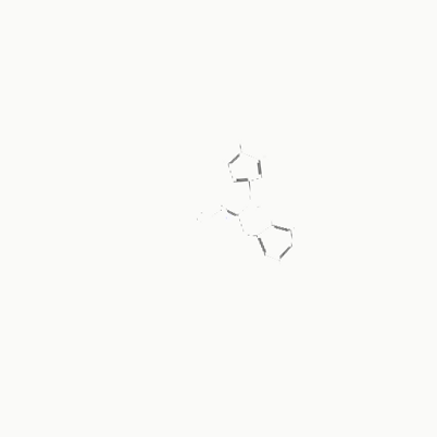 N#C/N=C(\Oc1ccccc1)Oc1ccc(Cl)cc1